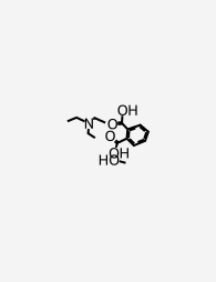 CCN(CC)CC.CO.O=C(O)c1ccccc1C(=O)O